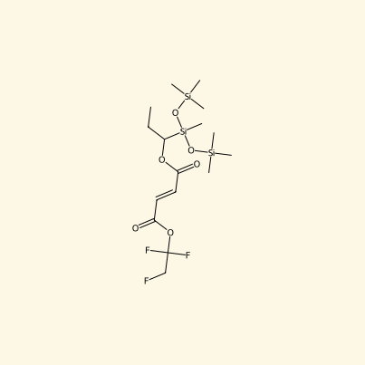 CCC(OC(=O)/C=C/C(=O)OC(F)(F)CF)[Si](C)(O[Si](C)(C)C)O[Si](C)(C)C